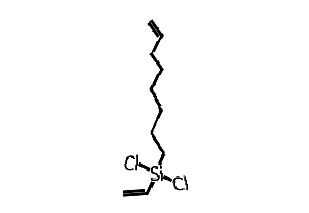 C=CCCCCCC[Si](Cl)(Cl)C=C